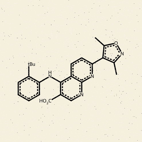 Cc1noc(C)c1-c1ccc2c(Nc3ccccc3C(C)(C)C)c(C(=O)O)cnc2n1